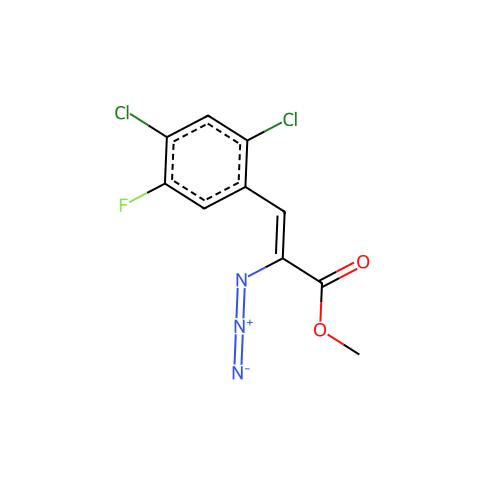 COC(=O)C(=Cc1cc(F)c(Cl)cc1Cl)N=[N+]=[N-]